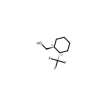 OC[C@H]1CCCC[C@@H]1C(F)(F)F